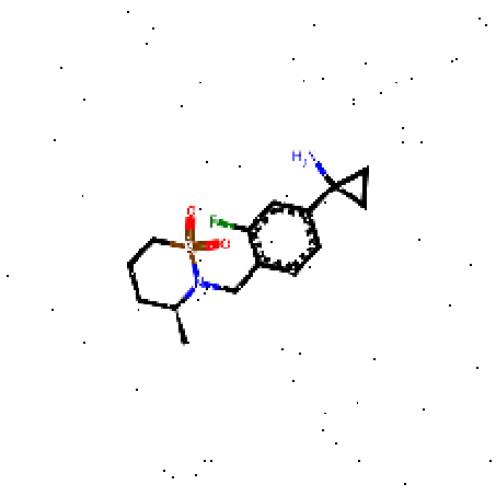 C[C@H]1CCCS(=O)(=O)N1Cc1ccc(C2(N)CC2)cc1F